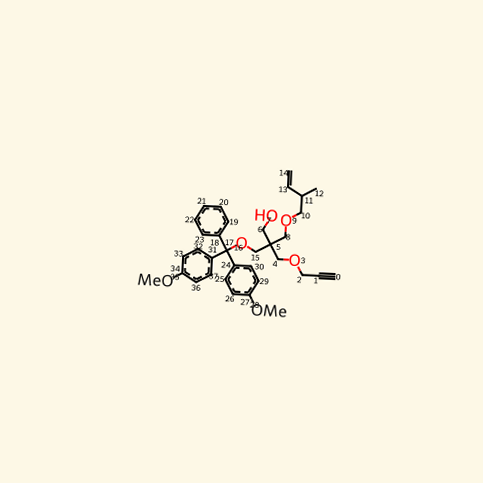 C#CCOCC(CO)(COCC(C)C=C)COC(c1ccccc1)(c1ccc(OC)cc1)c1ccc(OC)cc1